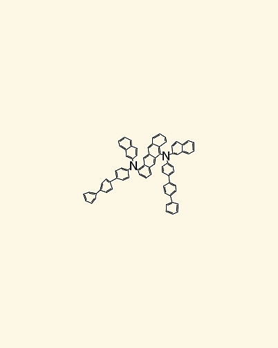 c1ccc(-c2ccc(-c3ccc(N(c4ccc5ccccc5c4)c4cccc5cc6c(N(c7ccc(-c8ccc(-c9ccccc9)cc8)cc7)c7ccc8ccccc8c7)c7ccccc7cc6cc45)cc3)cc2)cc1